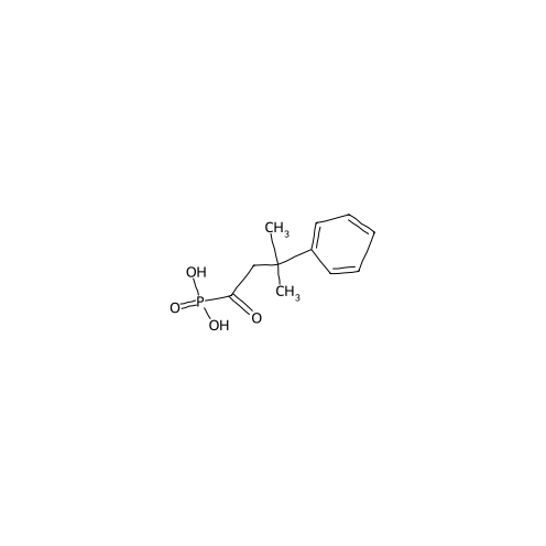 CC(C)(CC(=O)P(=O)(O)O)c1ccccc1